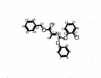 C/C(=N\P(Oc1ccccc1)Oc1ccccc1Cl)C(=O)OCc1ccccc1